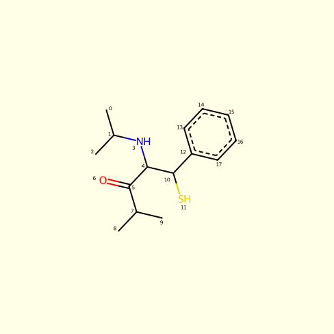 CC(C)NC(C(=O)C(C)C)C(S)c1ccccc1